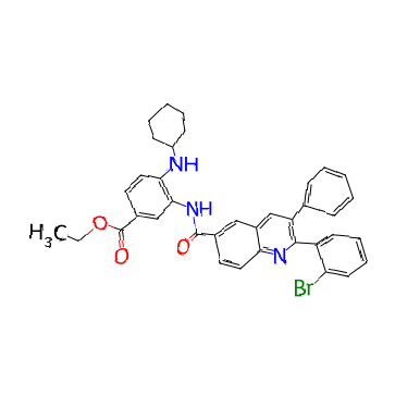 CCOC(=O)c1ccc(NC2CCCCC2)c(NC(=O)c2ccc3nc(-c4ccccc4Br)c(-c4ccccc4)cc3c2)c1